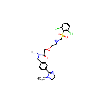 CN(Cc1ccc(C2=NCCN2C(=O)O)cc1)C(=O)COCCNCS(=O)(=O)c1c(Cl)cccc1Cl